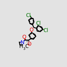 CO[C@H](C(=O)N1CCC1)c1cccc(OC(c2ccc(Cl)cc2)c2ccc(Cl)cc2Cl)c1